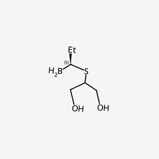 B[C@@H](CC)SC(CO)CO